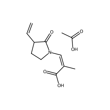 C=CC1CCN(C=C(C)C(=O)O)C1=O.CC(=O)O